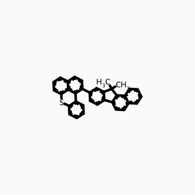 CC1(C)c2cc(-c3ccc4cccc5c4c3-c3ccccc3S5)ccc2-c2ccc3ccccc3c21